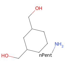 CCCCCN.OCC1CCCC(CO)C1